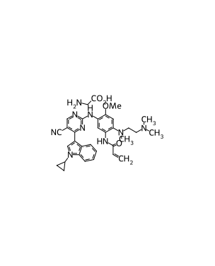 C=CC(=O)Nc1cc(Nc2ncc(C#N)c(-c3cn(C4CC4)c4ccccc34)n2)c(OC)cc1N(C)CCN(C)C.NCC(=O)O